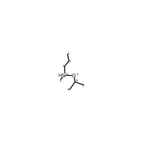 CCC[SiH](C)OC(C)C